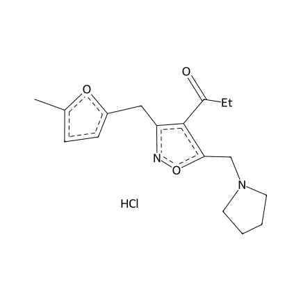 CCC(=O)c1c(Cc2ccc(C)o2)noc1CN1CCCC1.Cl